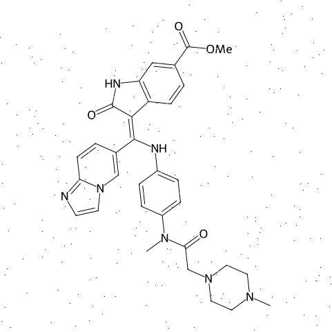 COC(=O)c1ccc2c(c1)NC(=O)C2=C(Nc1ccc(N(C)C(=O)CN2CCN(C)CC2)cc1)c1ccc2nccn2c1